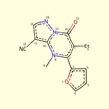 CCc1c(-c2ccco2)n(C)c2c(C#N)cnn2c1=O